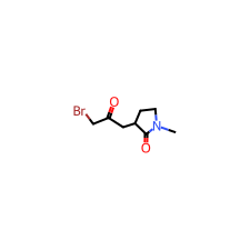 CN1CCC(CC(=O)CBr)C1=O